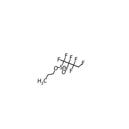 CCC[O][Sn](=[O])[C](F)(F)C(F)(F)C(F)(F)CF